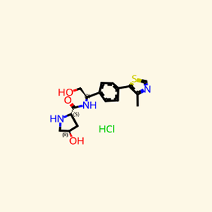 Cc1ncsc1-c1ccc([C@H](CO)NC(=O)[C@@H]2C[C@@H](O)CN2)cc1.Cl